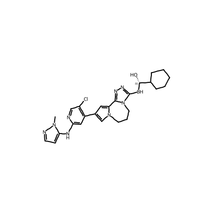 Cn1nccc1Nc1cc(-c2cc3n(c2)CCCn2c(B[C@H](O)C4CCCCC4)nnc2-3)c(Cl)cn1